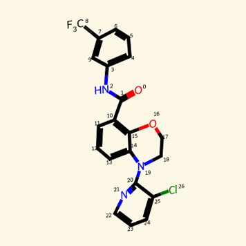 O=C(Nc1cccc(C(F)(F)F)c1)c1cccc2c1OCCN2c1ncccc1Cl